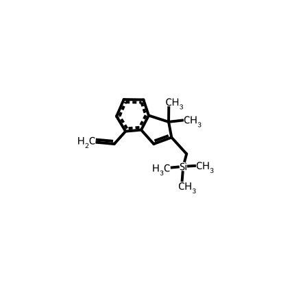 C=Cc1cccc2c1C=C(C[Si](C)(C)C)C2(C)C